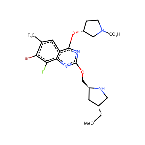 COC[C@H]1CN[C@H](COc2nc(O[C@@H]3CCN(C(=O)O)C3)c3cc(C(F)(F)F)c(Br)c(F)c3n2)C1